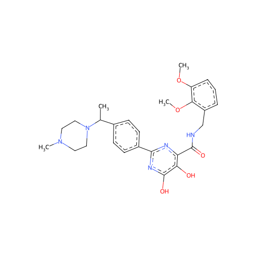 COc1cccc(CNC(=O)c2nc(-c3ccc(C(C)N4CCN(C)CC4)cc3)nc(O)c2O)c1OC